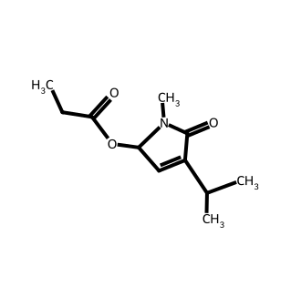 CCC(=O)OC1C=C(C(C)C)C(=O)N1C